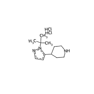 CC(C)(C)n1nccc1C1CCNCC1.Cl.Cl